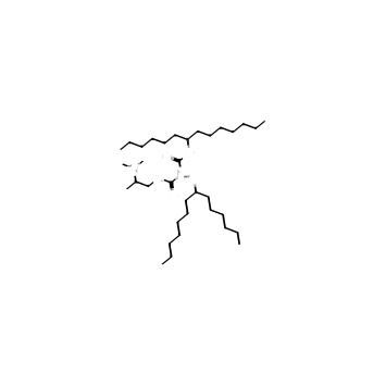 CCCCCCCC(CCCCCC)OC(=O)N(OC(CCCCCC)CCCCCCC)C(=O)SCC(C)N(C)C